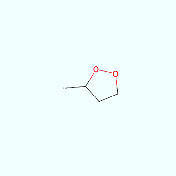 [CH2]C1CCOO1